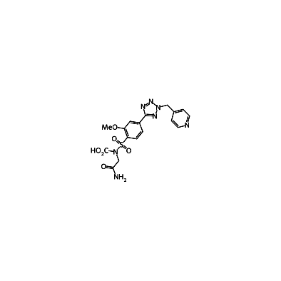 COc1cc(-c2nnn(Cc3ccncc3)n2)ccc1S(=O)(=O)N(CC(N)=O)C(=O)O